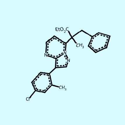 CCOC(=O)C(C)(Cc1ccccc1)c1ccnc2c(-c3ccc(Cl)cc3C)cnn12